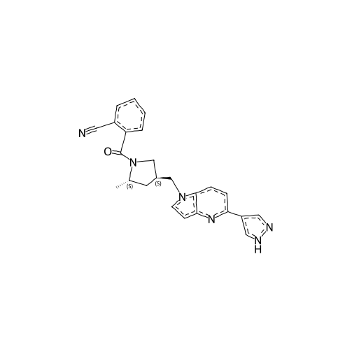 C[C@H]1C[C@H](Cn2ccc3nc(-c4cn[nH]c4)ccc32)CN1C(=O)c1ccccc1C#N